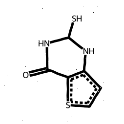 O=C1NC(S)Nc2ccsc21